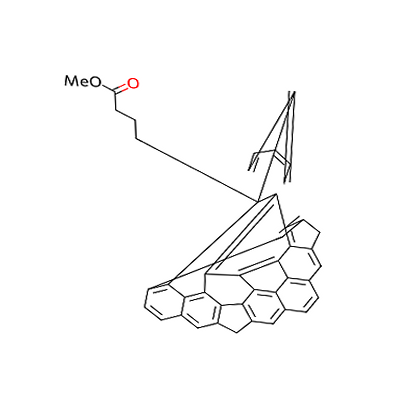 COC(=O)CCCC1(c2ccccc2)c2c3ccc4cc5c6c7c(cc8ccc9cc%10c%11c(c1c(c6c24)c1c%11c9c8c71)C(=C3)C%10)C5